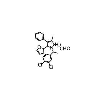 CC1=C(c2ccccc2)C(c2ccco2)N(C(C)c2ccc(Cl)c(Cl)c2)N1OC=O